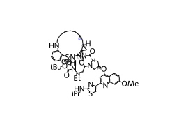 CC[C@@H](CC(=O)N1C[C@H](Oc2cc(-c3csc(NC(C)C)n3)nc3cc(OC)ccc23)C[C@H]1C(=O)N[C@]12C[C@@H]1/C=C\CCCCCNc1ccccc1S(=O)(=O)NC2=O)NC(=O)OC(C)(C)C